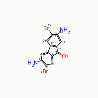 Nc1cc2c(cc1Br)C(=O)c1cc(N)c(Br)cc1-2